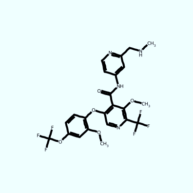 CNCc1cc(NC(=O)c2c(Oc3ccc(OC(F)(F)F)cc3OC)cnc(C(F)(F)F)c2OC)ccn1